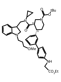 CCOC(=O)CNc1ccc(-c2cccc([C@H]3CCN(C(=O)OC(C)(C)C)C[C@@H]3C(=O)N(CC3CN(CCCOC)c4ccccc43)C3CC3)c2)cc1